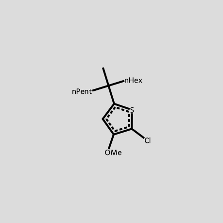 CCCCCCC(C)(CCCCC)c1cc(OC)c(Cl)s1